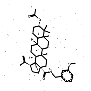 C=C(C)[C@@H]1CC[C@]2(C(=O)NCc3cccc(OC)c3)CC[C@]3(C)[C@H](CC[C@@H]4[C@@]5(C)CC[C@H](OC(C)=O)C(C)(C)[C@@H]5CC[C@]43C)[C@@H]12